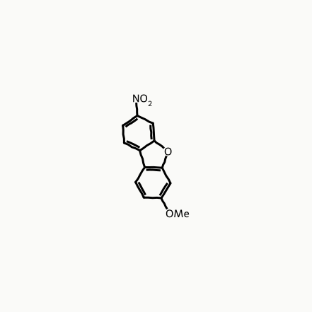 COc1ccc2c(c1)oc1cc([N+](=O)[O-])ccc12